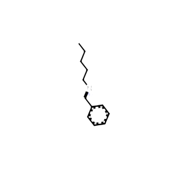 CCCCC/N=C/c1ccccc1